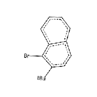 CC(C)(C)c1ccc2ccccc2c1Br